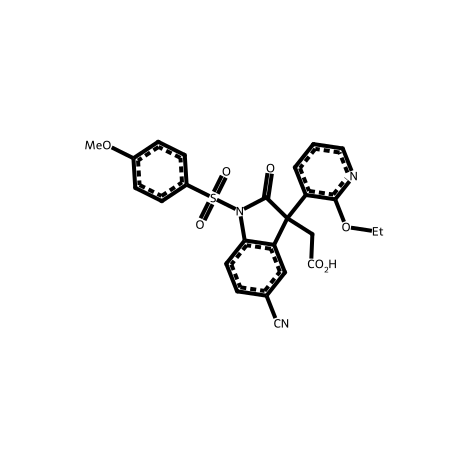 CCOc1ncccc1C1(CC(=O)O)C(=O)N(S(=O)(=O)c2ccc(OC)cc2)c2ccc(C#N)cc21